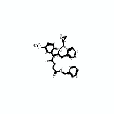 O=C(CCC(=O)c1c(Cc2ccccc2)n(CC2CO2)c2ccc(C(=O)O)cc12)OCc1ccccc1